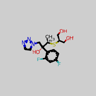 C[C@@H](SC(CO)CO)[C@](O)(Cn1ccnn1)c1ccc(F)cc1F